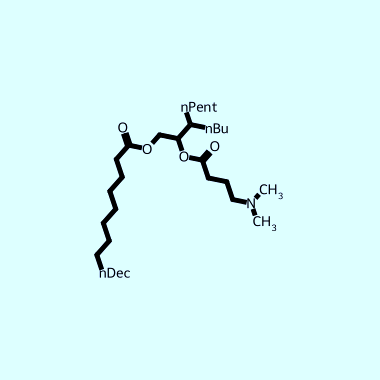 CCCCCCCCCCCCCCCCCC(=O)OCC(OC(=O)CCCN(C)C)C(CCCC)CCCCC